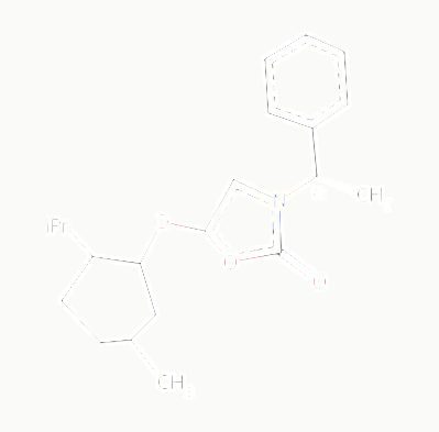 CC1CCC(C(C)C)C(Oc2cn([C@@H](C)c3ccccc3)c(=O)o2)C1